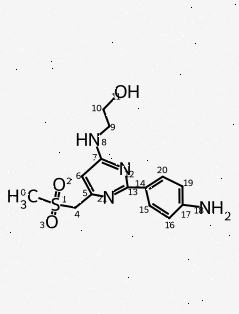 CS(=O)(=O)Cc1cc(NCCO)nc(-c2ccc(N)cc2)n1